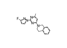 Cc1cc(N2CCc3ccccc3C2)nc(-n2ccc(F)n2)n1